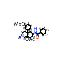 COc1cccc(C23CCN(C)CC2(OC(C)=O)CC[C@@H](NC(=O)c2ccccc2)C3)c1